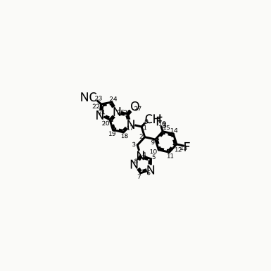 CC(C(Cn1cncn1)c1ccc(F)cc1F)n1ccc2nc(C#N)cn2c1=O